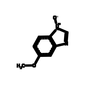 COc1ccc2c(c1)N=C[NH+]2[O-]